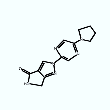 O=C1NCc2nn(-c3cnc(N4CCCC4)cn3)cc21